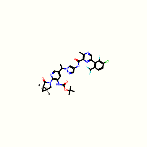 Cc1ncc(-c2c(C(F)F)ccc(Cl)c2F)nc1C(=O)Nc1cnn(C(C)c2cnc(N3C[C@H]4C[C@H]4C3=O)c(NC(=O)OC(C)(C)C)c2)c1